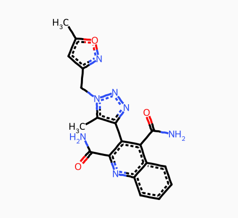 Cc1cc(Cn2nnc(-c3c(C(N)=O)nc4ccccc4c3C(N)=O)c2C)no1